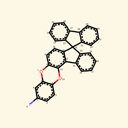 Ic1ccc2c(c1)Oc1ccc3c(c1O2)-c1ccccc1C31c2ccccc2-c2ccccc21